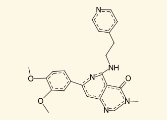 COc1ccc(-c2cc3ncn(C)c(=O)c3c(NCCc3ccncc3)n2)cc1OC